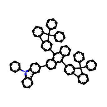 c1ccc(-n2c3ccccc3c3cc(-c4ccc5c(-c6ccc7c(c6)C(c6ccccc6)(c6ccccc6)c6ccccc6-7)c6ccccc6c(-c6ccc7c(c6)C(c6ccccc6)(c6ccccc6)c6ccccc6-7)c5c4)ccc32)cc1